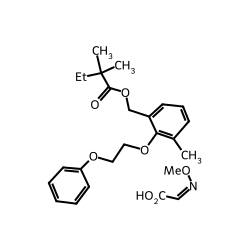 CCC(C)(C)C(=O)OCc1cccc(C)c1OCCOc1ccccc1.CO/N=C\C(=O)O